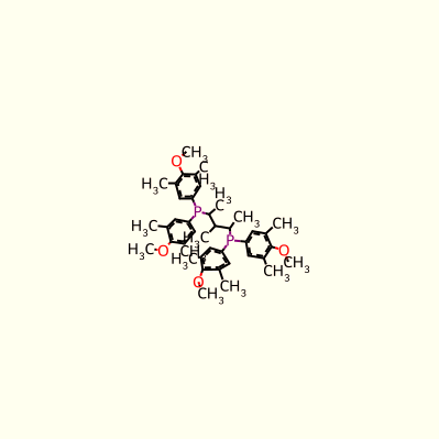 COc1c(C)cc(P(c2cc(C)c(OC)c(C)c2)C(C)C(C)C(C)P(c2cc(C)c(OC)c(C)c2)c2cc(C)c(OC)c(C)c2)cc1C